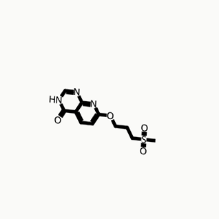 CS(=O)(=O)CCCOc1ccc2c(=O)[nH]cnc2n1